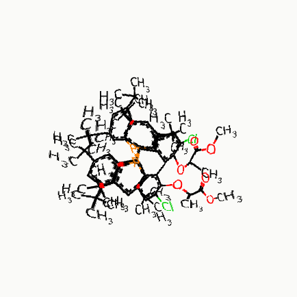 COC(=O)C(C)Oc1c(Cl)ccc(P(c2cc(C(C)(C)C)cc(C(C)(C)C)c2)c2cc(C(C)(C)C)cc(C(C)(C)C)c2)c1-c1c(P(c2cc(C(C)(C)C)cc(C(C)(C)C)c2)c2cc(C(C)(C)C)cc(C(C)(C)C)c2)ccc(Cl)c1OC(C)C(=O)OC